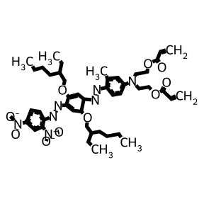 C=CC(=O)OCCN(CCOC(=O)C=C)c1ccc(/N=N/C2C=C(OCC(CC)CCCC)C(/N=N/c3ccc([N+](=O)[O-])cc3[N+](=O)[O-])=CC2OCC(CC)CCCC)c(C)c1